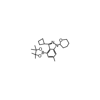 Cc1cc(B2OC(C)(C)C(C)(C)O2)c2c(C3CCC3)nn(C3CCCCO3)c2c1